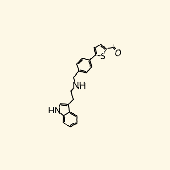 O=[C]c1ccc(-c2ccc(CNCCc3c[nH]c4ccccc34)cc2)s1